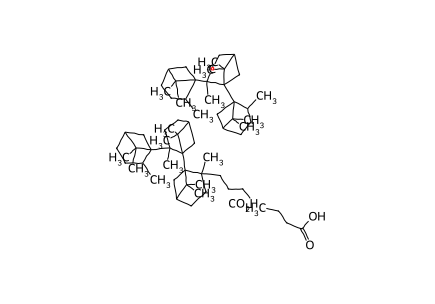 CC1CCC2CC1(C1(C)CCC3CC1(C14CC(CCC1(C)CCCC(=O)O)C4(C)C)C3(C)C)C2(C)C.CC1CCC2CC1(C1(C)CCC3CC1(C14CC(CCC1C)C4(C)C)C3(C)C)C2(C)C.CCCC(=O)O